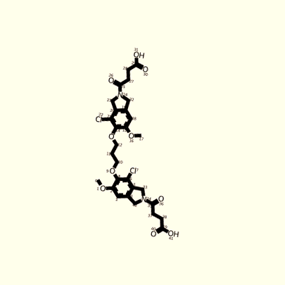 COc1cc2c(c(Cl)c1OCCCOc1c(OC)cc3c(c1Cl)CN(C(=O)CCC(=O)O)C3)CN(C(=O)CCC(=O)O)C2